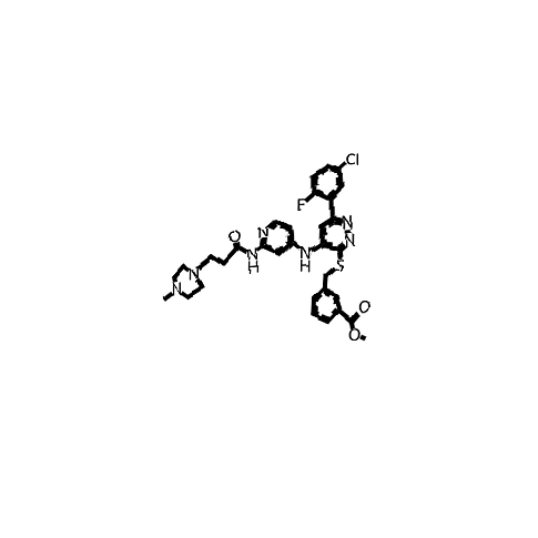 COC(=O)c1cccc(CSc2nnc(-c3cc(Cl)ccc3F)cc2Nc2ccnc(NC(=O)CCN3CCN(C)CC3)c2)c1